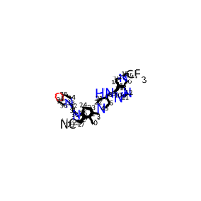 Cc1c(CN2CCC(Nc3ncnc4c3CCN(CC(F)(F)F)C4)CC2)ccc2c1cc(C#N)n2CCN1CCOCC1